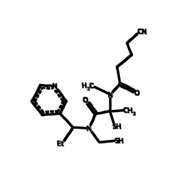 CCC(c1cccnc1)N(CS)C(=O)C(C)(S)N(C)C(=O)CCCC#N